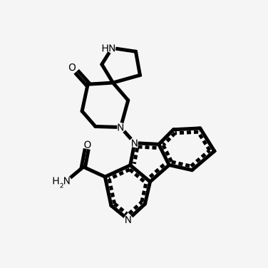 NC(=O)c1cncc2c3ccccc3n(N3CCC(=O)C4(CCNC4)C3)c12